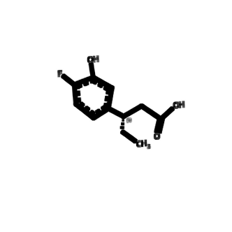 CC[C@@H](CC(=O)O)c1ccc(F)c(O)c1